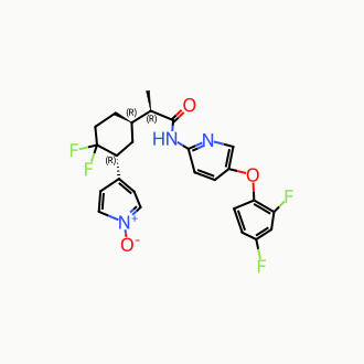 C[C@@H](C(=O)Nc1ccc(Oc2ccc(F)cc2F)cn1)[C@@H]1CCC(F)(F)[C@@H](c2cc[n+]([O-])cc2)C1